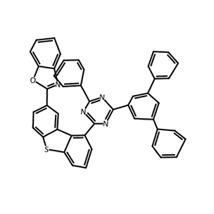 c1ccc(-c2cc(-c3ccccc3)cc(-c3nc(-c4ccccc4)nc(-c4cccc5sc6ccc(-c7nc8ccccc8o7)cc6c45)n3)c2)cc1